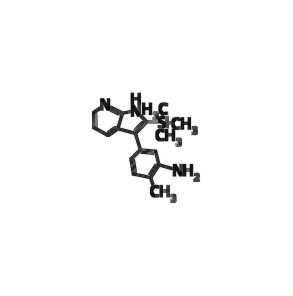 Cc1ccc(-c2c([Si](C)(C)C)[nH]c3ncccc23)cc1N